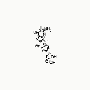 C#C[C@H]1C[C@@H](COP(=O)(O)O)O[C@H]1Cn1cnc2c(=O)[nH]c(N)nc21